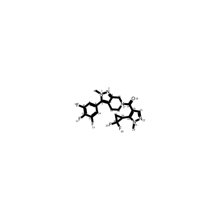 Cn1nc2c(c1-c1cc(F)c(F)c(F)c1)CCN(C(=O)c1cnn(C)c1C1CC1(F)F)C2